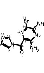 Nc1nc(N)c(C(=O)n2ccnc2)nc1Br